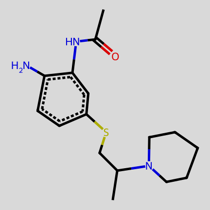 CC(=O)Nc1cc(SCC(C)N2CCCCC2)ccc1N